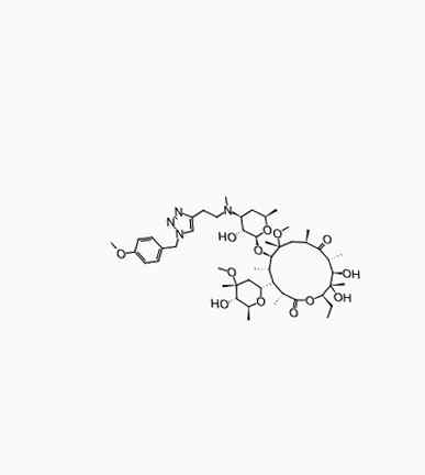 CC[C@H]1OC(=O)[C@H](C)C([C@H]2C[C@@](C)(OC)[C@@H](O)[C@H](C)O2)[C@H](C)[C@@H](O[C@@H]2O[C@H](C)C[C@H](N(C)CCc3cn(Cc4ccc(OC)cc4)nn3)[C@H]2O)[C@](C)(OC)C[C@@H](C)C(=O)[C@H](C)[C@@H](O)[C@]1(C)O